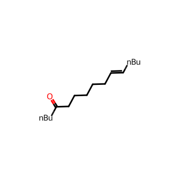 CCCC/C=C/CCCCCC(=O)CCCC